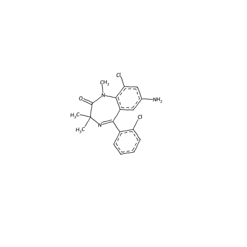 CN1C(=O)C(C)(C)N=C(c2ccccc2Cl)c2cc(N)cc(Cl)c21